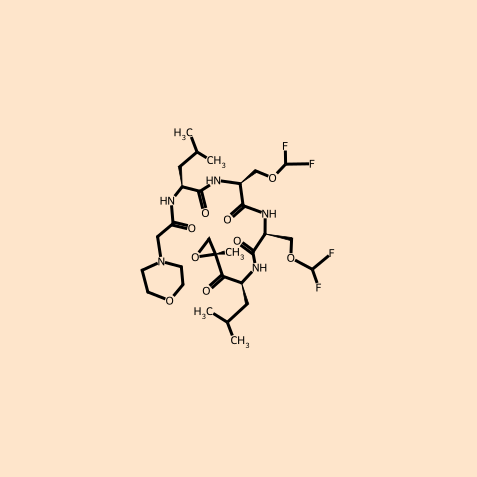 CC(C)C[C@H](NC(=O)CN1CCOCC1)C(=O)N[C@@H](COC(F)F)C(=O)N[C@@H](COC(F)F)C(=O)N[C@@H](CC(C)C)C(=O)[C@@]1(C)CO1